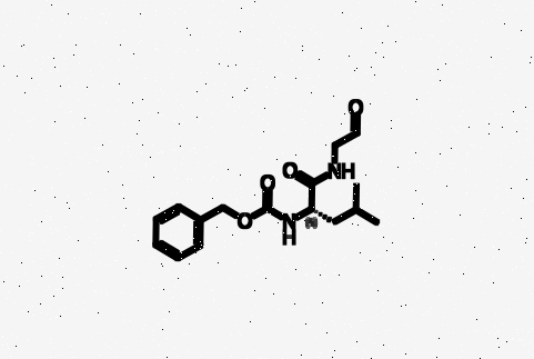 CC(C)C[C@H](NC(=O)OCc1ccccc1)C(=O)NCC=O